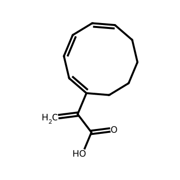 C=C(C(=O)O)C1=CC=CC=CCCCC1